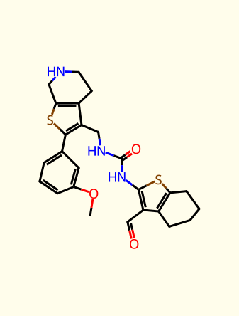 COc1cccc(-c2sc3c(c2CNC(=O)Nc2sc4c(c2C=O)CCCC4)CCNC3)c1